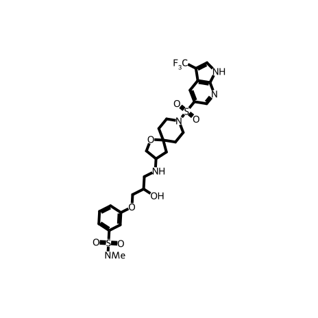 CNS(=O)(=O)c1cccc(OCC(O)CNC2COC3(CCN(S(=O)(=O)c4cnc5[nH]cc(C(F)(F)F)c5c4)CC3)C2)c1